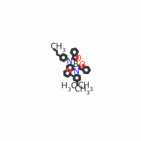 CCCCc1ccc(N2c3cccc4c3B(c3oc5ccccc5c32)c2oc3ccccc3c2N4c2ccc(C(C)(C)C)cc2-c2ccccc2)cc1